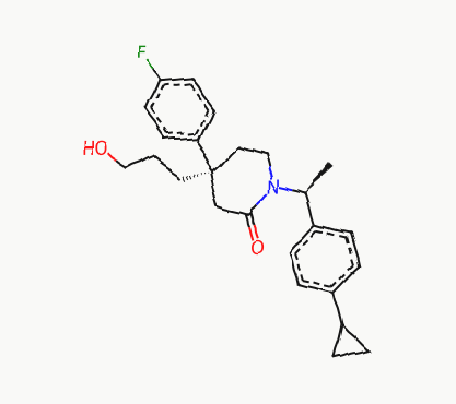 C[C@@H](c1ccc(C2CC2)cc1)N1CC[C@](CCCO)(c2ccc(F)cc2)CC1=O